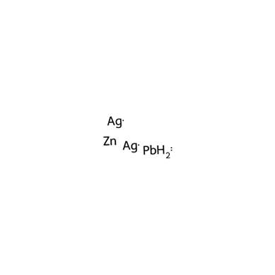 [Ag].[Ag].[PbH2].[Zn]